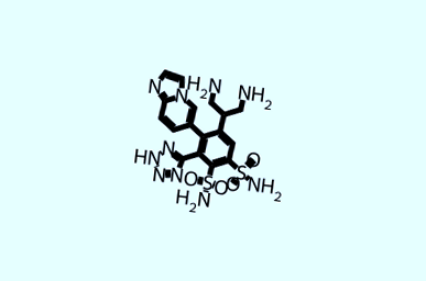 NCC(CN)c1cc(S(N)(=O)=O)c(S(N)(=O)=O)c(-c2nn[nH]n2)c1-c1ccc2nccn2c1